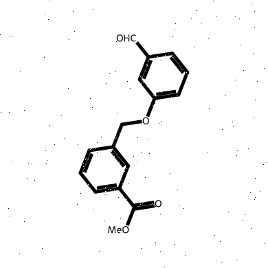 COC(=O)c1cccc(COc2cccc(C=O)c2)c1